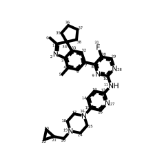 CC1=Nc2c(C)cc(-c3nc(Nc4ccc(N5CCN(CC6CC6)CC5)cn4)ncc3F)cc2C12CCCC2